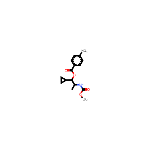 CC(NC(=O)OC(C)(C)C)C(OC(=O)c1ccc([N+](=O)[O-])cc1)C1CC1